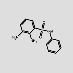 Nc1cccc(S(=O)(=O)Nc2ccccc2)c1N